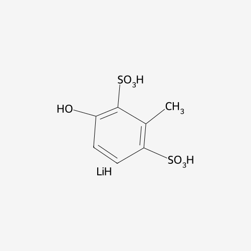 Cc1c(S(=O)(=O)O)ccc(O)c1S(=O)(=O)O.[LiH]